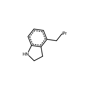 CC(C)Cc1cccc2c1CCN2